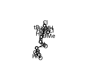 COc1cc(N2CCC[C@@H](N3CCOC[C@@H]3C#Cc3cccc4c3CN(C3CCC(=O)NC3=O)C4=O)C2)ccc1NC(=O)[C@@H]1N[C@@H](CC(C)(C)C)[C@@]2(CNc3cc(Cl)ccc32)[C@H]1c1cccc(Cl)c1F